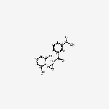 C1CO1.O=C(O)c1cccc(C(=O)O)c1.Oc1cccc(O)c1